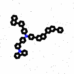 c1ccc(-c2ccc3ccc(-c4ccc5ccc(-c6ccc(N(c7ccc(-c8cccc(-c9cccc%10ccccc9%10)c8)cc7)c7ccc(-c8cccc(-n9c%10ccccc%10c%10ccccc%109)c8)cc7)cc6)cc5c4)cc3c2)cc1